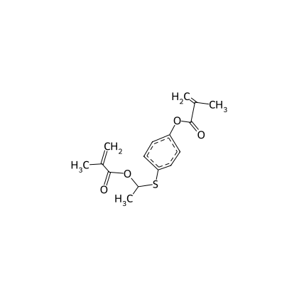 C=C(C)C(=O)Oc1ccc(SC(C)OC(=O)C(=C)C)cc1